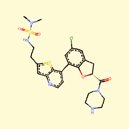 CN(C)S(=O)(=O)NCCc1cc2nccc(-c3cc(Cl)cc4c3O[C@@H](C(=O)N3CCNCC3)C4)c2s1